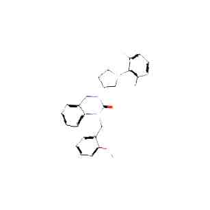 COc1ccccc1CN1C(=O)N([C@@H]2CCN(c3c(C)cccc3F)C2)Cc2ccccc21